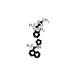 CC1OC(C(C)(C)Oc2ccc([C@@H]3CC[C@H](N[C@H](C)c4cccc5ccccc45)C3)cc2F)O1